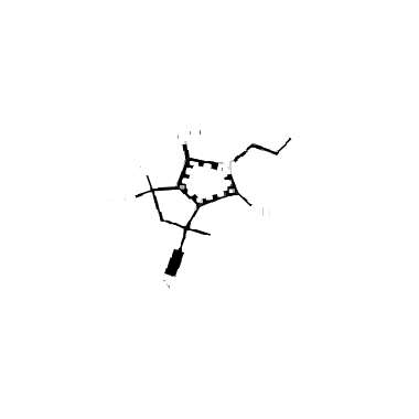 CCCn1c(C)c2c(c1C)C(C)(C#N)CC2(C)C